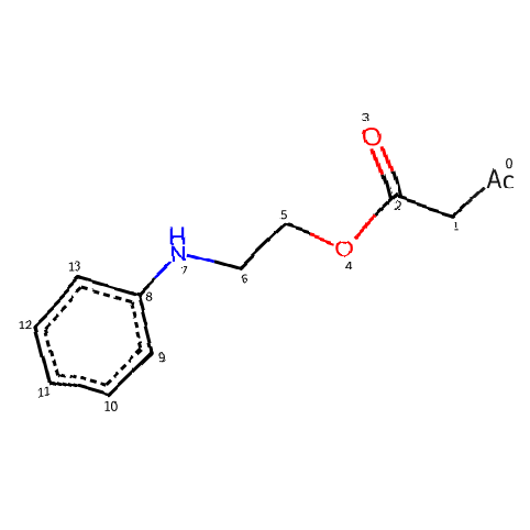 CC(=O)CC(=O)OCCNc1ccccc1